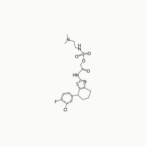 CN(C)CCNS(=O)(=O)OCC(=O)Nc1nc2c(s1)C(c1ccc(F)c(Cl)c1)CCC2